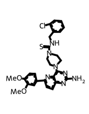 COc1ccc(-c2ccc3nc(N)nc(N4CCN(C(=S)NCc5ccccc5Cl)CC4)c3n2)cc1OC